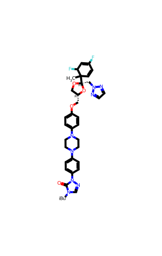 CCC(C)n1cnn(-c2ccc(N3CCN(c4ccc(OC[C@@H]5CO[C@@](Cn6nccn6)(C6(C)C=CC(F)=CC6F)O5)cc4)CC3)cc2)c1=O